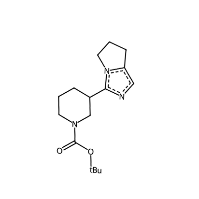 CC(C)(C)OC(=O)N1CCCC(c2ncc3n2CCC3)C1